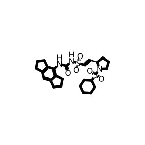 O=C(Nc1c2c(cc3c1CCC3)CCC2)NS(=O)(=O)/C=C/[C@H]1CCCN1S(=O)(=O)C1CCCCC1